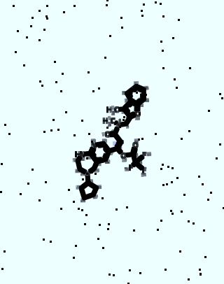 Cc1c(CN(C)C(=O)/C=C(/OC(=O)C(F)(F)F)c2cnc3c(c2)CN(C2CCCC2)CCN3)oc2ccccc12